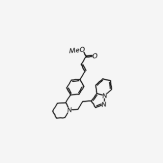 COC(=O)C=Cc1ccc(C2CCCCN2CCc2cnn3ccccc23)cc1